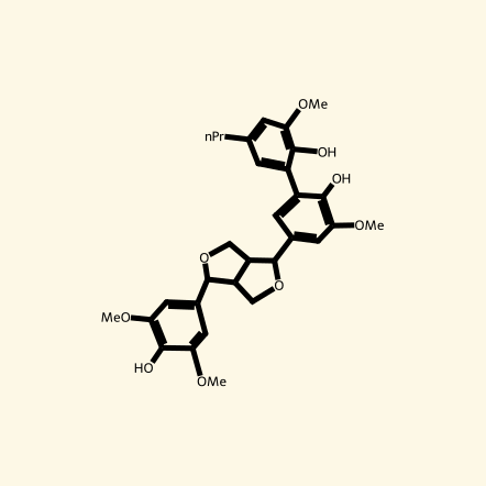 CCCc1cc(OC)c(O)c(-c2cc(C3OCC4C(c5cc(OC)c(O)c(OC)c5)OCC34)cc(OC)c2O)c1